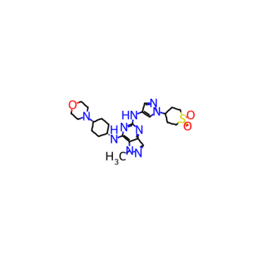 Cn1ncc2nc(Nc3cnn(C4CCS(=O)(=O)CC4)c3)nc(N[C@H]3CC[C@H](N4CCOCC4)CC3)c21